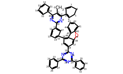 Cc1c(C2=CCCC=C2)nc(-c2cccc(-c3cc(-c4nc(-c5ccccc5)nc(-c5ccccc5)n4)cc4oc5ccccc5c34)c2)nc1-c1ccccc1